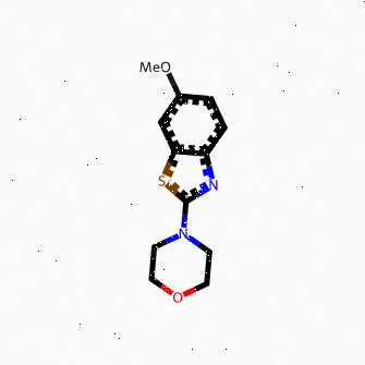 COc1ccc2nc(N3CCOCC3)sc2c1